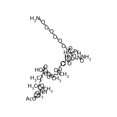 CC(=O)O[C@@H](C)/C=C\C(=O)N[C@@H]1C[C@H](C)[C@H](C/C=C(C)/C=C/[C@H]2O[C@H](CC(=O)N(C)CCN(C)C(=O)OCc3ccc(NC(=O)[C@H](CCCNC(N)=O)NC(=O)[C@@H](NC(=O)CCOCCOCCOCCOCCOCCOCCN)C(C)C)cc3)C[C@@]3(CO3)[C@@H]2O)O[C@@H]1C